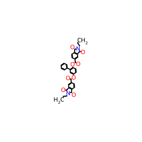 C=CCN1C(=O)c2ccc(C(=O)Oc3ccc(OC(=O)c4ccc5c(c4)C(=O)N(CC=C)C5=O)c(-c4ccccc4)c3)cc2C1=O